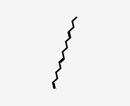 [CH]=CCCCC=CCCCC=CCCC